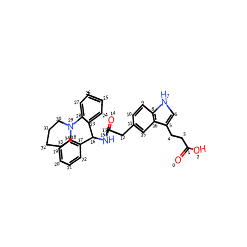 O=C(O)CCc1c[nH]c2ccc(CC(=O)NC(c3ccccc3)c3ccccc3N3CCCCC3)cc12